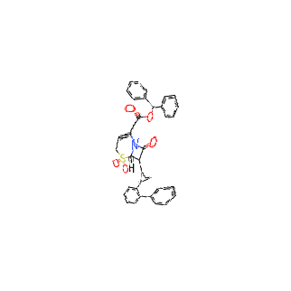 O=C(OC(c1ccccc1)c1ccccc1)C1=CCS(=O)(=O)[C@H]2C(C3C[C]3c3ccccc3-c3ccccc3)C(=O)N12